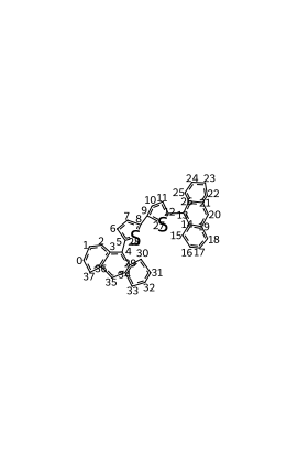 c1ccc2c(-c3ccc(-c4ccc(-c5c6ccccc6cc6ccccc56)s4)s3)c3ccccc3cc2c1